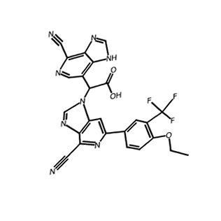 CCOc1ccc(-c2cc3c(ncn3C(C(=O)O)c3cnc(C#N)c4nc[nH]c34)c(C#N)n2)cc1C(F)(F)F